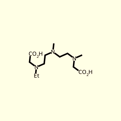 CCN(CCN(C)CCN(C)CC(=O)O)CC(=O)O